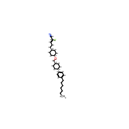 CCCCCCCc1ccc([C@H]2CC[C@H](CO[C@H]3CC[C@H](CC/C=C(\F)C#N)CC3)CC2)cc1